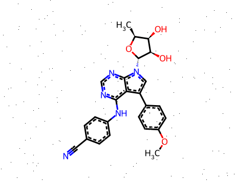 COc1ccc(-c2cn([C@@H]3O[C@@H](C)[C@@H](O)[C@H]3O)c3ncnc(Nc4ccc(C#N)cc4)c23)cc1